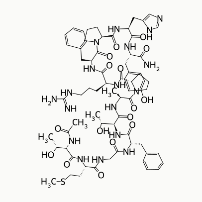 CSCC[C@H](NC(=O)[C@@H](NC(C)=O)[C@@H](C)O)C(=O)NCC(=O)N[C@@H](Cc1ccccc1)C(=O)N[C@H](C(=O)N[C@@H](C)C(=O)N1CCC[C@H]1C(=O)N[C@@H](CCCNC(=N)N)C(=O)N[C@@H](Cc1ccccc1)C(=O)N1CCC[C@H]1C(=O)N[C@@H](Cc1cnc[nH]1)C(=O)N[C@@H](Cc1ccc(O)cc1)C(N)=O)[C@@H](C)O